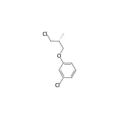 C[C@@H](CCl)COc1cccc(Cl)c1